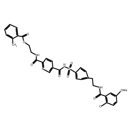 COc1ccc(Cl)c(C(=O)NCCc2ccc(S(=O)(=O)NC(=O)c3ccc(C(=O)NCCOC(=O)c4ccccc4C)nc3)cc2)c1